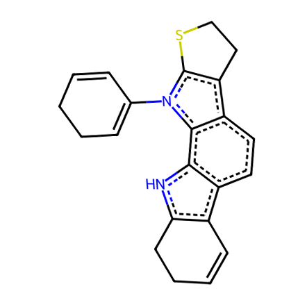 C1=CC(n2c3c(c4ccc5c6c([nH]c5c42)CCC=C6)CCS3)=CCC1